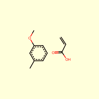 C=CC(=O)O.COc1cccc(C)c1